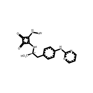 CCCNc1c(N[C@@H](Cc2ccc(Nc3ncccn3)cc2)C(=O)O)c(=O)c1=O